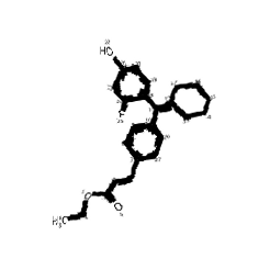 CCOC(=O)C=Cc1ccc(C(=C2CCCCC2)c2ccc(O)cc2F)cc1